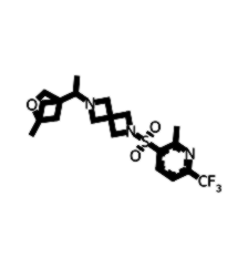 Cc1nc(C(F)(F)F)ccc1S(=O)(=O)N1CC2(CN(C(C)C34COC(C)(C3)C4)C2)C1